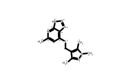 Cc1nn(C)c(C)c1CSc1cc(N)nc2[nH]nnc12